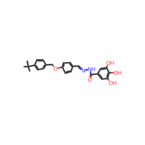 CC(C)(C)c1ccc(COc2ccc(/C=N/NC(=O)c3cc(O)c(O)c(O)c3)cc2)cc1